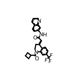 O=C(/C=C1\CCN(C(=O)C2CCC2)c2cc(C(F)(F)F)ccc21)Nc1ccc2cccnc2c1